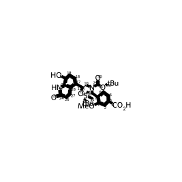 COc1cc(C(=O)O)ccc1CN(C[C@H](O[Si](C)(C)C(C)(C)C)c1ccc(O)c2[nH]c(=O)ccc12)C(=O)OC(C)(C)C